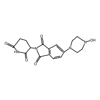 O=C1CCC(N2C(=O)c3ccc(N4CCN(O)CC4)cc3C2=O)C(=O)N1